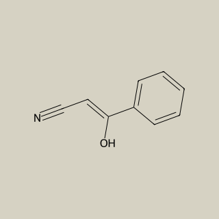 N#CC=C(O)c1ccccc1